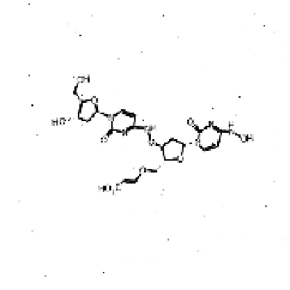 O=C(O)C=COC[C@H]1O[C@@H](n2ccc(NO)nc2=O)C[C@@H]1ONc1ccn([C@H]2C[C@H](O)[C@@H](CO)O2)c(=O)n1